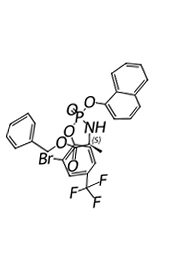 C[C@H](NP(=O)(Oc1ccc(C(F)(F)F)cc1Br)Oc1cccc2ccccc12)C(=O)OCc1ccccc1